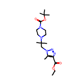 CCOC(=O)c1nnn(CC(C)(C)N2CCN(C(=O)OC(C)(C)C)CC2)c1C